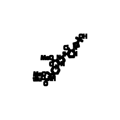 COCC(NC(=O)OC(C)(C)C)C1(C)CCN(c2ncc(Sc3ccnc(N4CC(C(C)(C)O)C4)c3Cl)nc2C(=O)OC)CC1